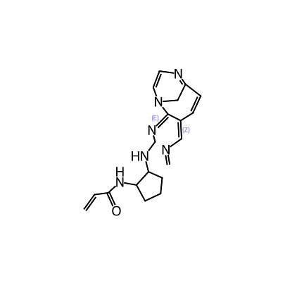 C=CC(=O)NC1CCCC1NC/N=C1\C(=C/N=C)C=CC2=NC=CN1C2